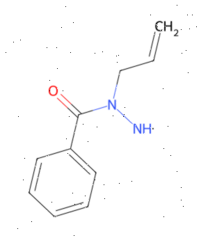 C=CCN([NH])C(=O)c1ccccc1